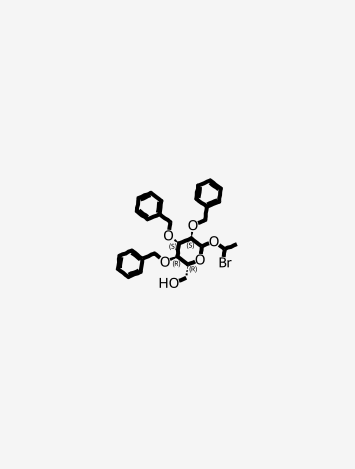 CC(Br)OC1O[C@H](CO)[C@@H](OCc2ccccc2)[C@H](OCc2ccccc2)[C@@H]1OCc1ccccc1